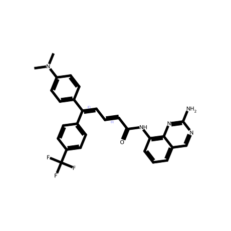 CN(C)c1ccc(/C(=C/C=C/C(=O)Nc2cccc3cnc(N)nc23)c2ccc(C(F)(F)F)cc2)cc1